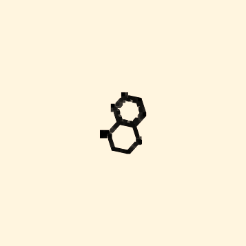 c1cc2c(nn1)NCCS2